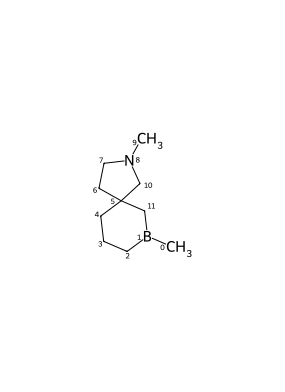 CB1CCCC2(CCN(C)C2)C1